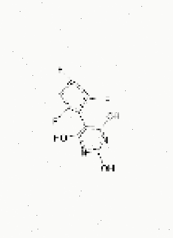 Oc1nc(O)c(-c2c(F)cc(F)cc2F)c(O)n1